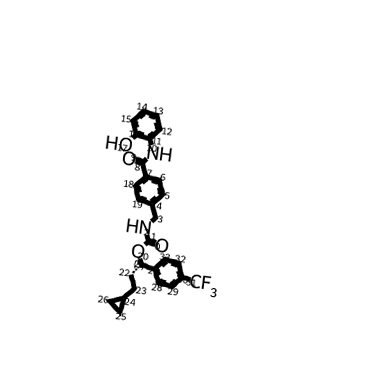 O=C(NCc1ccc(C(=O)Nc2ccccc2O)cc1)O[C@@H](CCC1CC1)c1ccc(C(F)(F)F)cc1